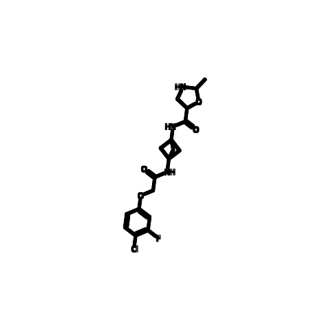 CC1NCC(C(=O)NC23CC(NC(=O)COc4ccc(Cl)c(F)c4)(C2)C3)O1